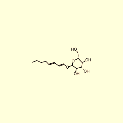 CCCCC=CC=COC1O[C@H](CO)[C@@H](O)[C@H](O)[C@H]1O